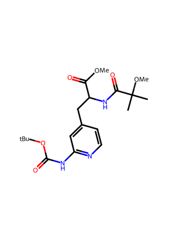 COC(=O)C(Cc1ccnc(NC(=O)OC(C)(C)C)c1)NC(=O)C(C)(C)OC